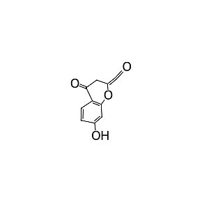 O=C=C1CC(=O)c2ccc(O)cc2O1